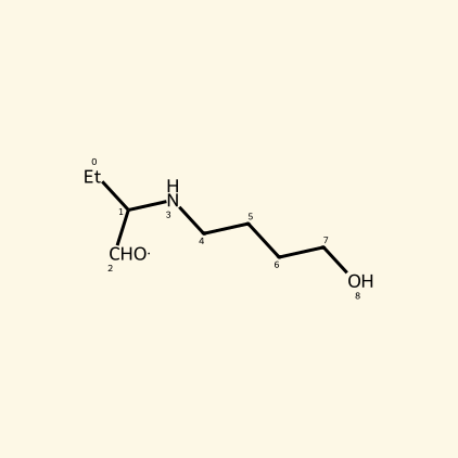 CCC([C]=O)NCCCCO